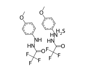 COc1ccc(NNC(=O)C(F)(F)F)cc1.COc1ccc(NNC(=O)C(F)(F)F)cc1.S